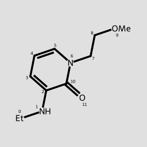 CCNc1cccn(CCOC)c1=O